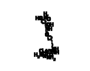 CC(=O)Nc1cc([C@@H](O)CNCCOc2ccc(CCCCNC(=N)NC(=O)c3nc(Cl)c(N)nc3N)cc2)ccc1O